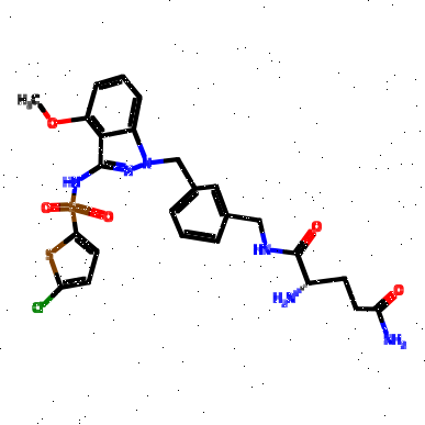 COc1cccc2c1c(NS(=O)(=O)c1ccc(Cl)s1)nn2Cc1cccc(CNC(=O)[C@@H](N)CCC(N)=O)c1